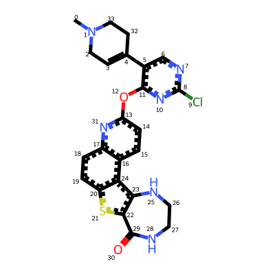 CN1CC=C(c2cnc(Cl)nc2Oc2ccc3c(ccc4sc5c(c43)NCCNC5=O)n2)CC1